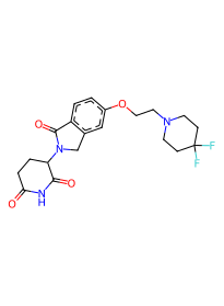 O=C1CCC(N2Cc3cc(OCCN4CCC(F)(F)CC4)ccc3C2=O)C(=O)N1